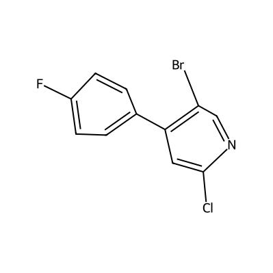 Fc1ccc(-c2cc(Cl)ncc2Br)cc1